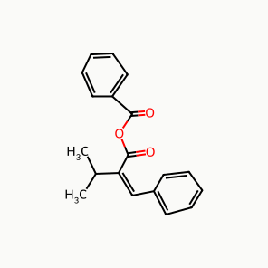 CC(C)C(=Cc1ccccc1)C(=O)OC(=O)c1ccccc1